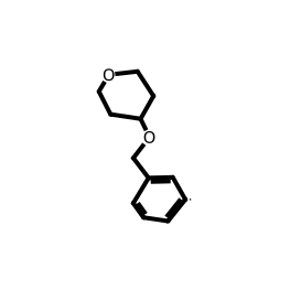 [c]1cccc(COC2CCOCC2)c1